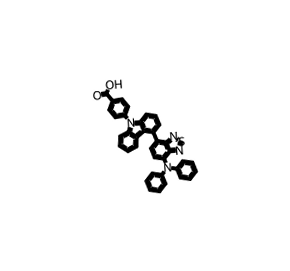 O=C(O)c1ccc(-n2c3ccccc3c3c(-c4ccc(N(c5ccccc5)c5ccccc5)c5nsnc45)cccc32)cc1